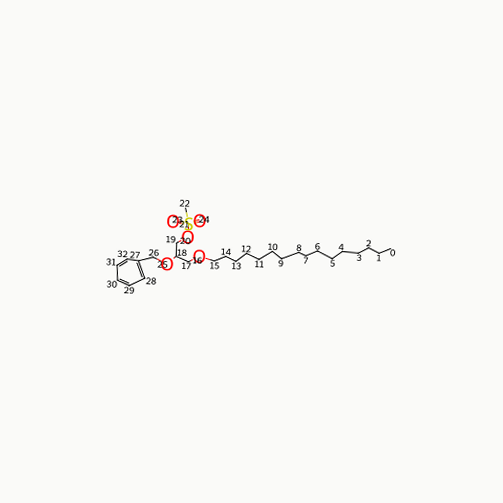 CCCCCCCCCCCCCCCCOCC(COS(C)(=O)=O)OCc1ccccc1